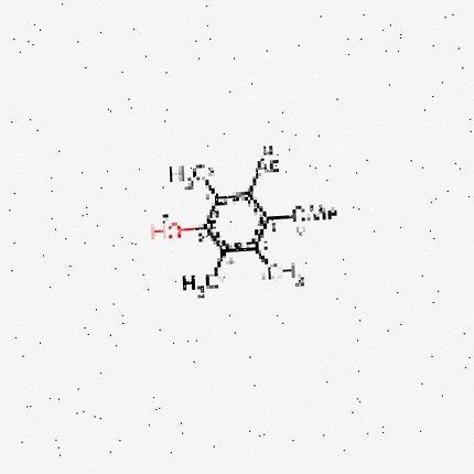 COc1c(C)c(C)c(O)c(C)c1C(C)=O